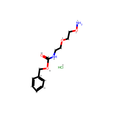 Cl.NOCCOCCNC(=O)OCc1ccccc1